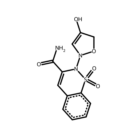 NC(=O)C1=Cc2ccccc2S(=O)(=O)N1N1C=C(O)CO1